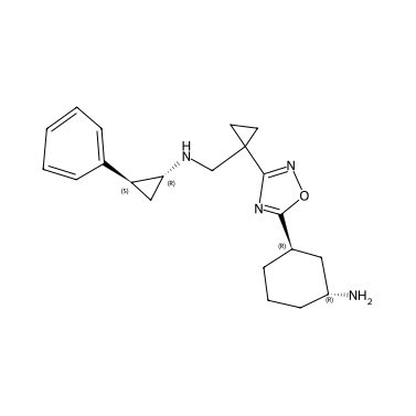 N[C@@H]1CCC[C@@H](c2nc(C3(CN[C@@H]4C[C@H]4c4ccccc4)CC3)no2)C1